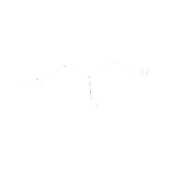 OCC(O)[CH2][AlH2]